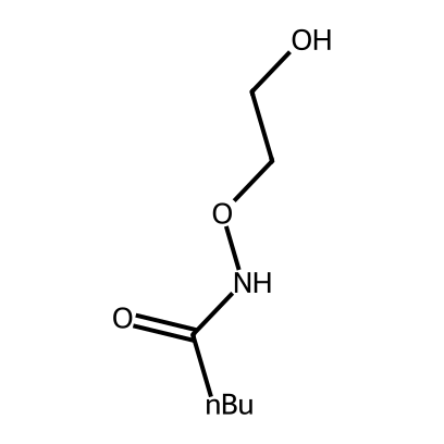 CCCCC(=O)NOCCO